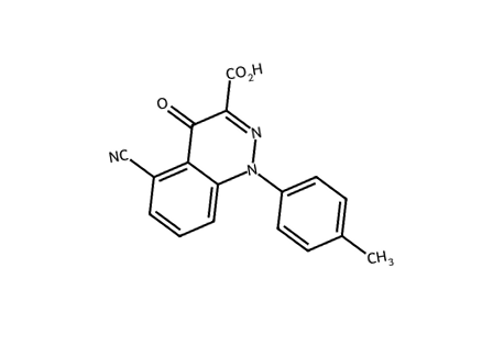 Cc1ccc(-n2nc(C(=O)O)c(=O)c3c(C#N)cccc32)cc1